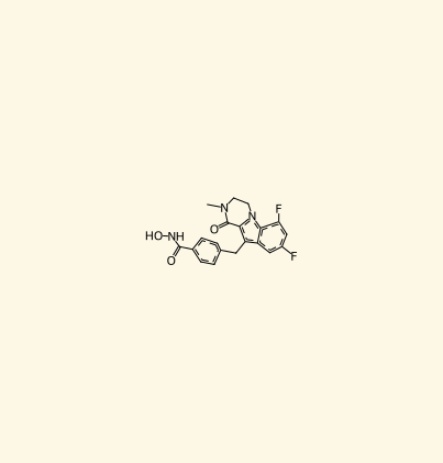 CN1CCn2c(c(Cc3ccc(C(=O)NO)cc3)c3cc(F)cc(F)c32)C1=O